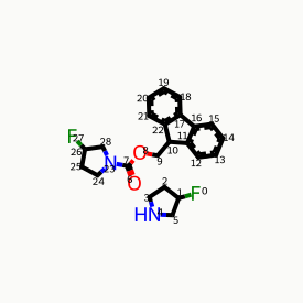 FC1CCNC1.O=C(OCC1c2ccccc2-c2ccccc21)N1CCC(F)C1